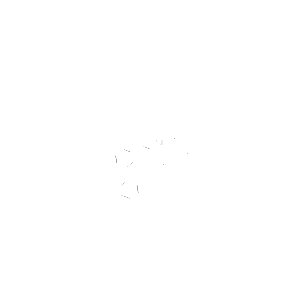 COc1cc(Cl)ccc1C[C@@H](c1cccc(Cl)c1)[C@H](N[C@H](CN)CC(C)(C)C)C(=O)NCC[C@H](O)CO